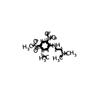 CI.CN(C)CCNc1ccc(S(C)(=O)=O)cc1[N+](=O)[O-]